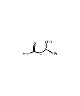 CCCN([C]=O)OC(=O)NC